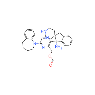 NC1(c2ncc(N3CCCCc4ccccc43)nc2COC=O)c2ccccc2CC12CCNCC2